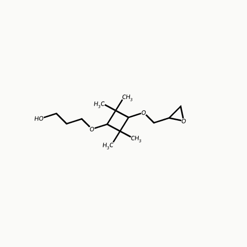 CC1(C)C(OCCCO)C(C)(C)C1OCC1CO1